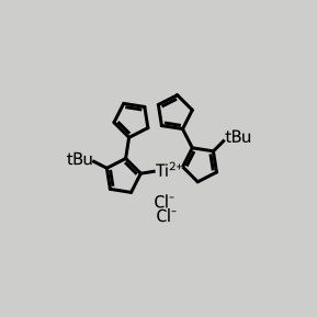 CC(C)(C)C1=CC[C]([Ti+2][C]2=C(C3=CC=CC3)C(C(C)(C)C)=CC2)=C1C1=CC=CC1.[Cl-].[Cl-]